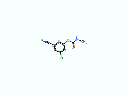 CNC(=O)Oc1cc(Br)cc(C#N)c1